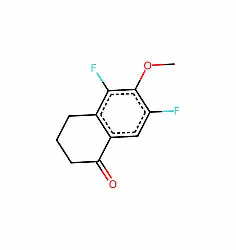 COc1c(F)cc2c(c1F)CCCC2=O